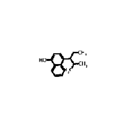 CCC(c1ccc(O)c2ccccc12)C(C)C